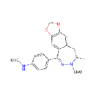 CC1Cc2cc3c(cc2C(c2ccc(NC=O)cc2)=NN1C=O)OCO3